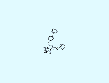 CB(O)N1C(=O)[C@](C)(COC2CCCCO2)C[C@H]1Cc1ccc(-c2ccccc2)cc1